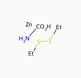 CCSSCC.NC(=O)O.[Zn]